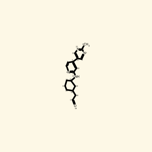 Cc1ncc(-c2ccnc(NC3CCCC(CC=O)C3)c2)cn1